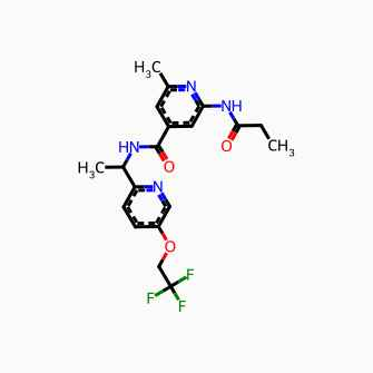 CCC(=O)Nc1cc(C(=O)NC(C)c2ccc(OCC(F)(F)F)cn2)cc(C)n1